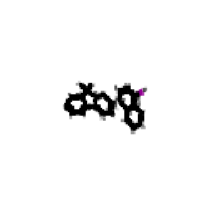 CC1(C)c2ccccc2C2=CC=C([C@@H]3C=CC(I)=C4C=CC=CC43)CC21